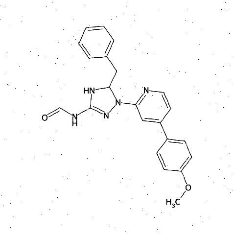 COc1ccc(-c2ccnc(N3N=C(NC=O)NC3Cc3ccccc3)c2)cc1